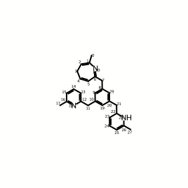 CC1=CCC=CC(Cc2cc(Cc3cccc(C)n3)cc(CC3C=CC=C(C)N3)c2)=N1